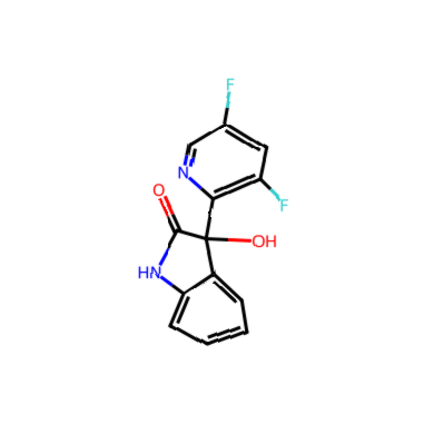 O=C1Nc2ccccc2C1(O)c1ncc(F)cc1F